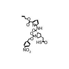 C=CCOC(=O)c1cccc(NC(=O)[C@@H]2C[C@@H](CC(=O)S)CN2C(=O)OCc2ccc([N+](=O)[O-])cc2)n1